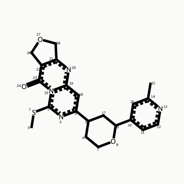 CSc1nc(C2CCOC(c3ccnc(C)c3)C2)cc2nc3c(c(=O)n12)COC3